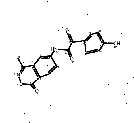 Cc1noc(=O)c2ccc(NC(=O)C(=O)c3ccc(C#N)cc3)cc12